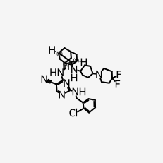 N#Cc1cnc(NCc2ccccc2Cl)nc1NC[C@]12CC3C[C@H](C1)[C@@H](NC1CCC(N4CCC(F)(F)CC4)CC1)[C@@H](C3)C2